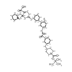 CC(C)(C)OC(=O)N1CCC(Cc2cccc(C(=O)NCc3ccc(F)c(-c4cccc(CN5CCN(C(=O)O)[C@@](C)(Cc6ccccc6)C5)c4)c3)c2)CC1